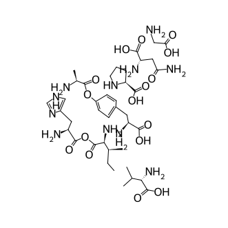 CC(C)[C@H](N)C(=O)O.CC[C@H](C)[C@H](N)C(=O)OC(=O)[C@@H](N)Cc1c[nH]cn1.C[C@H](N)C(=O)Oc1ccc(C[C@H](N)C(=O)O)cc1.NC(=O)C[C@H](N)C(=O)O.NCC(=O)O.O=C(O)[C@@H]1CCCN1